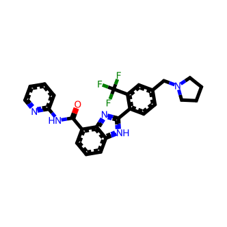 O=C(Nc1ccccn1)c1cccc2[nH]c(-c3ccc(CN4CCCC4)cc3C(F)(F)F)nc12